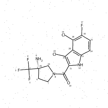 N[C@@]1(C(F)(F)F)CCN(C(=O)c2[nH]c3ccc(F)c(Cl)c3c2Cl)C1